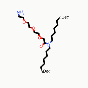 CCCCCCCCCCCCCCCCN(CCCCCCCCCCCCCCCC)C(=O)COCCOCCOCCN